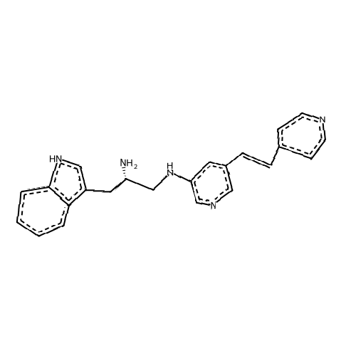 N[C@H](CNc1cncc(/C=C/c2ccncc2)c1)Cc1c[nH]c2ccccc12